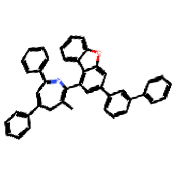 CC1=C(c2cc(-c3cccc(-c4ccccc4)c3)cc3oc4ccccc4c23)N=C(c2ccccc2)C=C(c2ccccc2)C1